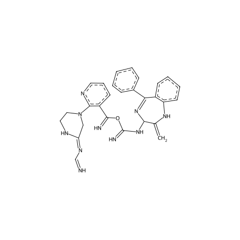 C=C1Nc2ccccc2C(c2ccccc2)=NC1NC(=N)OC(=N)c1cccnc1N1CCN/C(=N\C=N)C1